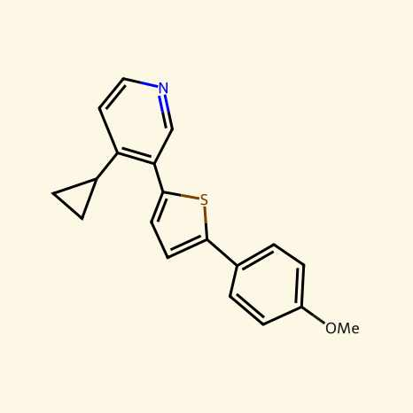 COc1ccc(-c2ccc(-c3cnccc3C3CC3)s2)cc1